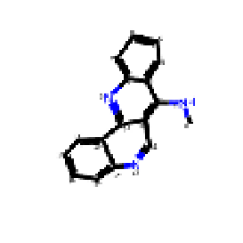 CNc1c2ccccc2nc2c1cnc1ccccc12